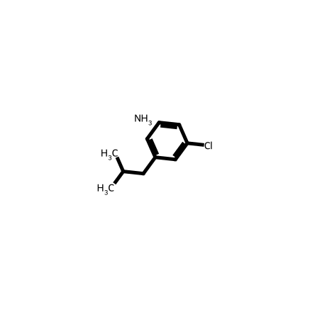 CC(C)Cc1cccc(Cl)c1.N